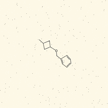 [CH2]C1CC(OCc2ccccc2)C1